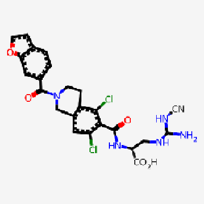 N#CNC(N)NC[C@H](NC(=O)c1c(Cl)cc2c(c1Cl)CCN(C(=O)c1ccc3ccoc3c1)C2)C(=O)O